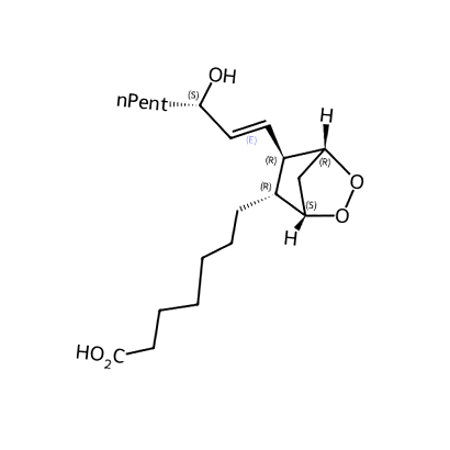 CCCCC[C@H](O)/C=C/[C@@H]1[C@@H](CCCCCCC(=O)O)[C@@H]2C[C@H]1OO2